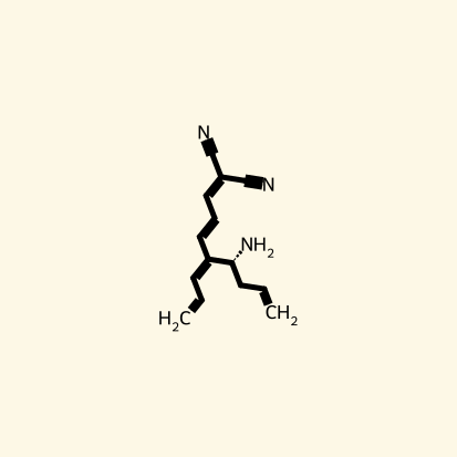 C=C/C=C(/C=C/C=C(C#N)C#N)[C@H](N)CC=C